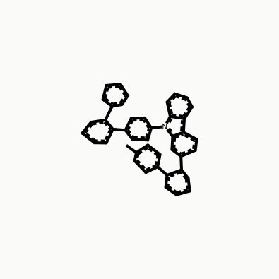 Cc1ccc(-c2ccccc2-c2ccc3c4ccccc4n(-c4ccc(-c5ccccc5-c5ccccc5)cc4)c3c2)cc1